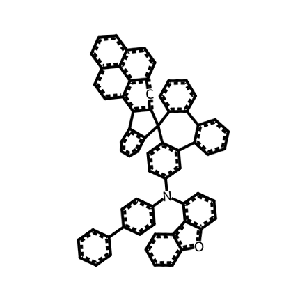 c1ccc(-c2ccc(N(c3ccc4c(c3)-c3ccccc3-c3ccccc3C43c4ccccc4-c4c3cc3ccc5cccc6ccc4c3c56)c3cccc4oc5ccccc5c34)cc2)cc1